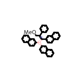 COC/C(=C(\B(c1ccc2ccccc2c1)c1ccc2ccccc2c1)c1ccc2ccccc2c1)c1ccccc1